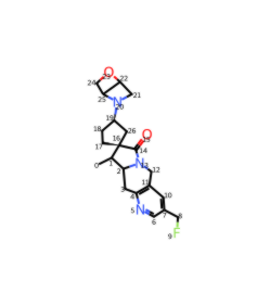 CC1C2Cc3ncc(CF)cc3CN2C(=O)[C@]12CC[C@@H](N1CC3OCC31)C2